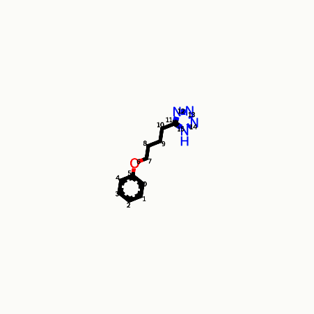 [c]1ccccc1OCCCCc1nnn[nH]1